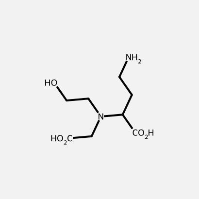 NCCC(C(=O)O)N(CCO)CC(=O)O